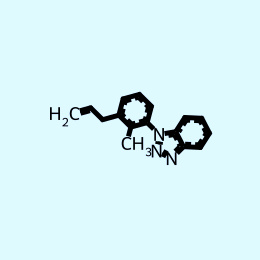 C=CCc1cccc(-n2nnc3ccccc32)c1C